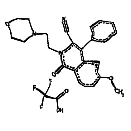 COc1ccc2c(=O)n(CCN3CCOCC3)c(C#N)c(-c3ccccc3)c2c1.O=C(O)C(F)(F)F